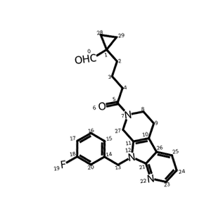 O=CC1(CCCC(=O)N2CCc3c(n(Cc4cccc(F)c4)c4ncccc34)C2)CC1